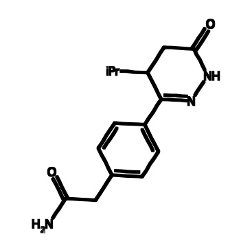 CC(C)C1CC(=O)NN=C1c1ccc(CC(N)=O)cc1